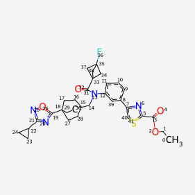 CCOC(=O)c1nc(-c2cccc(N(CC34CCC(c5nc(C6CC6)no5)(CC3)CC4)C(=O)C34CC(F)(C3)C4)c2)cs1